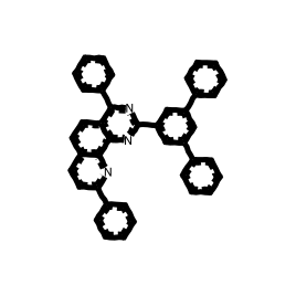 c1ccc(-c2cc(-c3ccccc3)cc(-c3nc(-c4ccccc4)c4ccc5ccc(-c6ccccc6)nc5c4n3)c2)cc1